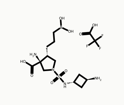 N[C@]1(C(=O)O)CN(S(=O)(=O)N[C@H]2C[C@H](N)C2)C[C@H]1CCCB(O)O.O=C(O)C(F)(F)F